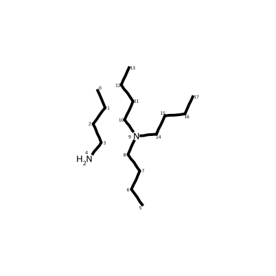 CCCCN.CCCCN(CCCC)CCCC